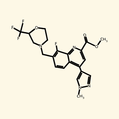 COC(=O)c1cc(-c2cnn(C)c2)c2ccc(CN3CCOC(C(F)(F)F)C3)c(F)c2n1